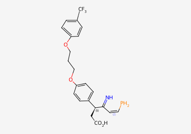 N=C(/C=C\P)[C@@H](CC(=O)O)c1ccc(OCCCOc2ccc(C(F)(F)F)cc2)cc1